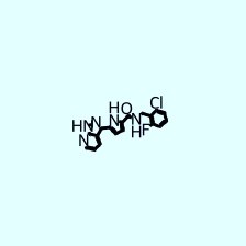 O=C(NCc1c(F)cccc1Cl)c1ccc(-c2n[nH]c3ncccc23)[nH]1